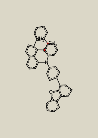 CC(Oc1c(N)ccc2cccc(N(c3ccccc3)c3ccc(-c4cccc5c4oc4ccccc45)cc3)c12)c1ccccc1